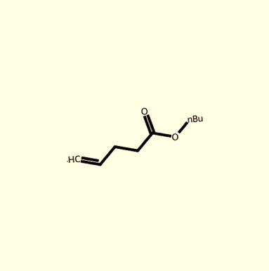 [CH]=CCCC(=O)OCCCC